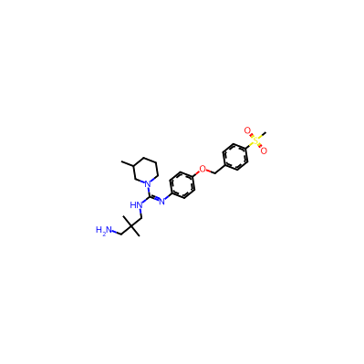 CC1CCCN(/C(=N\c2ccc(OCc3ccc(S(C)(=O)=O)cc3)cc2)NCC(C)(C)CN)C1